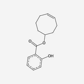 O=C(OC1CC/C=C\CCC1)c1ccccc1O